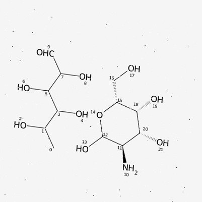 CC(O)C(O)C(O)C(O)C=O.N[C@H]1C(O)O[C@H](CO)[C@H](O)[C@@H]1O